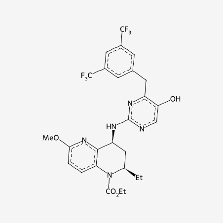 CCOC(=O)N1c2ccc(OC)nc2[C@@H](Nc2ncc(O)c(Cc3cc(C(F)(F)F)cc(C(F)(F)F)c3)n2)C[C@H]1CC